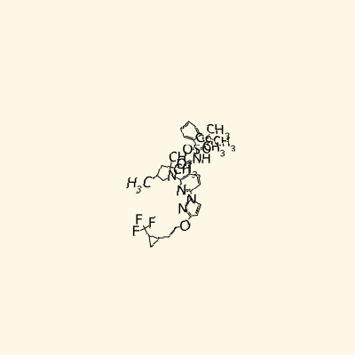 C[C@@H]1CN(c2nc(-n3ccc(OCCC4CC4C(F)(F)F)n3)ccc2C(=O)NS(=O)(=O)c2cccc[c]2[Ge]([CH3])([CH3])[CH3])C(C)(C)C1